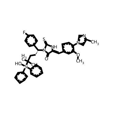 COc1cc(/C=C2\NC(=S)N([C@H](CCC(C)(C)[Si](O)(c3ccccc3)c3ccccc3)c3ccc(F)cc3)C2=O)ccc1-n1cnc(C)c1